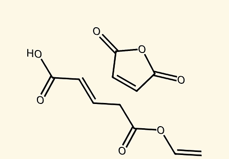 C=COC(=O)CC=CC(=O)O.O=C1C=CC(=O)O1